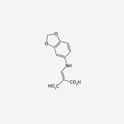 O=C(O)C(=CNc1ccc2c(c1)OCO2)C(=O)O